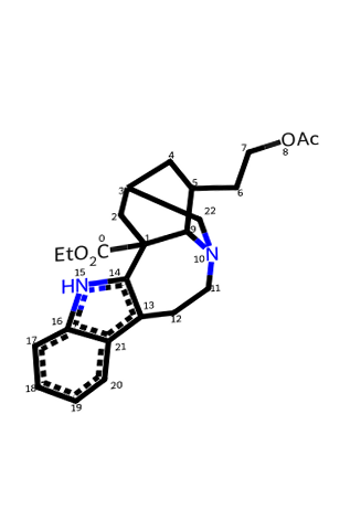 CCOC(=O)C12CC3CC(CCOC(C)=O)C1N(CCc1c2[nH]c2ccccc12)C3